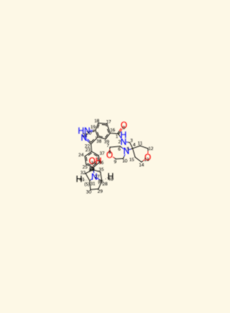 O=C(NCC1(N2CCOCC2)CCOCC1)c1ccc2[nH]nc(-c3ccc(N4[C@@H]5CC[C@H]4C[C@H](O)C5)cc3)c2c1